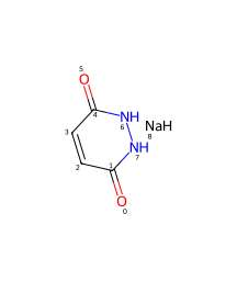 O=c1ccc(=O)[nH][nH]1.[NaH]